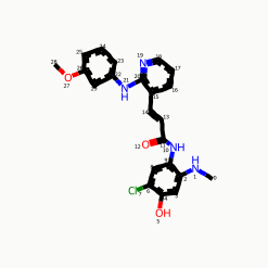 CNc1cc(O)c(Cl)cc1NC(=O)/C=C/c1cccnc1Nc1cccc(OC)c1